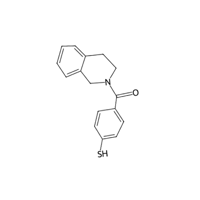 O=C(c1ccc(S)cc1)N1CCc2ccccc2C1